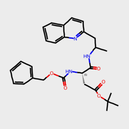 CC(Cc1ccc2ccccc2n1)NC(=O)[C@H](CC(=O)OC(C)(C)C)NC(=O)OCc1ccccc1